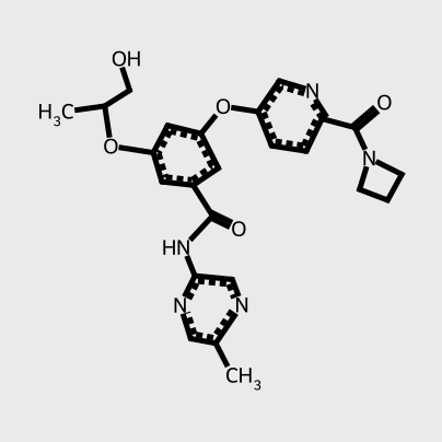 Cc1cnc(NC(=O)c2cc(Oc3ccc(C(=O)N4CCC4)nc3)cc(OC(C)CO)c2)cn1